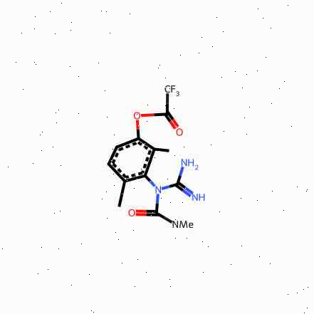 CNC(=O)N(C(=N)N)c1c(C)ccc(OC(=O)C(F)(F)F)c1C